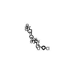 Cc1c(C(=O)N2CCC(N3CCC(N(C)S(C)(=O)=O)CC3)CC2)ncnc1N1CCOC(c2ccc(Cl)cc2)C1